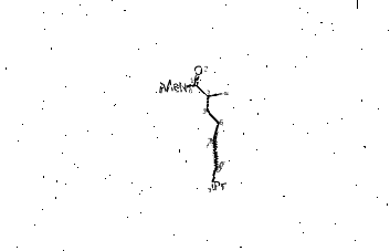 CNC(=O)C(C)CCCCC(C)C